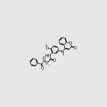 COc1ccc(N(C)c2cc(=O)oc3ccccc23)cc1NC(=O)[C@H](C)NC(=O)c1ccccc1